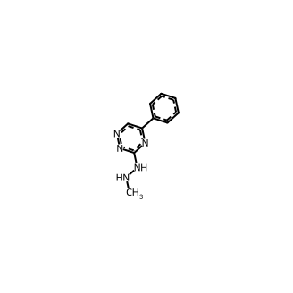 CNNc1nncc(-c2ccccc2)n1